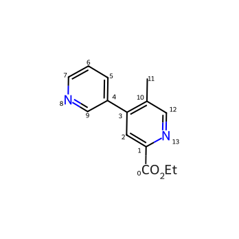 CCOC(=O)c1cc(-c2cccnc2)c(C)cn1